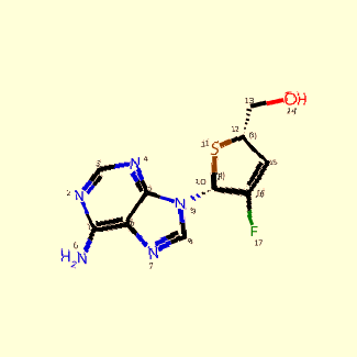 Nc1ncnc2c1ncn2[C@@H]1S[C@H](CO)C=C1F